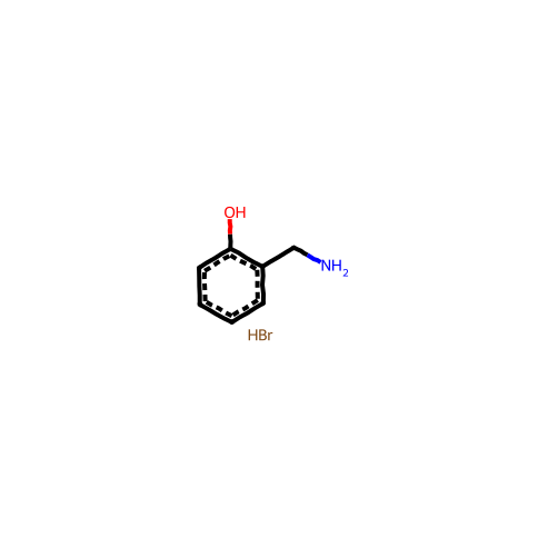 Br.NCc1ccccc1O